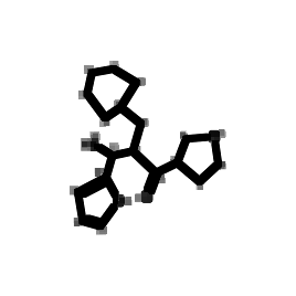 O=C(C1C[CH]OC1)C(CC1CCCCC1)C(S)c1ccco1